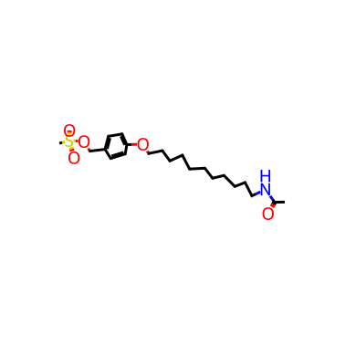 CC(=O)NCCCCCCCCCCCOc1ccc(COS(C)(=O)=O)cc1